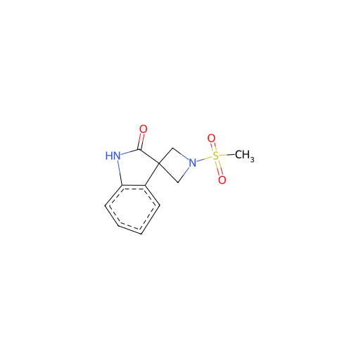 CS(=O)(=O)N1CC2(C1)C(=O)Nc1ccccc12